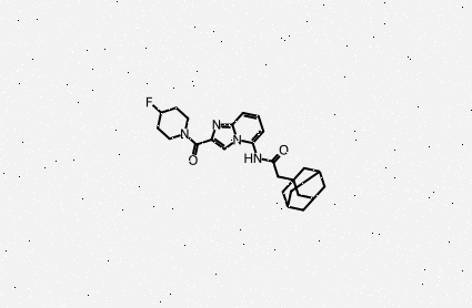 O=C(CC12CC3CC(CC(C3)C1)C2)Nc1cccc2nc(C(=O)N3CCC(F)CC3)cn12